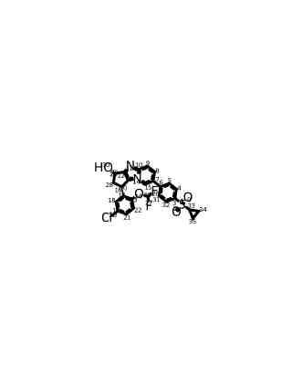 O=S(=O)(c1ccc(-c2ccc3nc4c(n3c2)[C@@H](c2cc(Cl)ccc2OC(F)F)C[C@H]4O)cc1)C1CC1